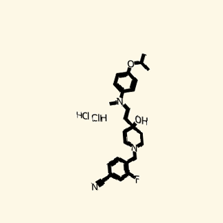 CC(C)Oc1ccc(N(C)CCC2(O)CCN(Cc3ccc(C#N)cc3F)CC2)cc1.Cl.Cl